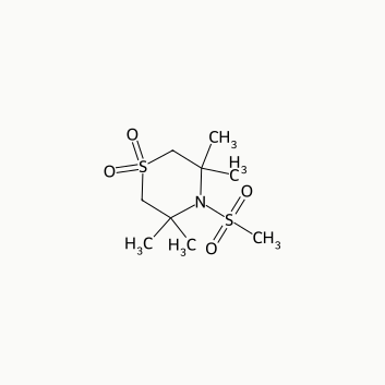 CC1(C)CS(=O)(=O)CC(C)(C)N1S(C)(=O)=O